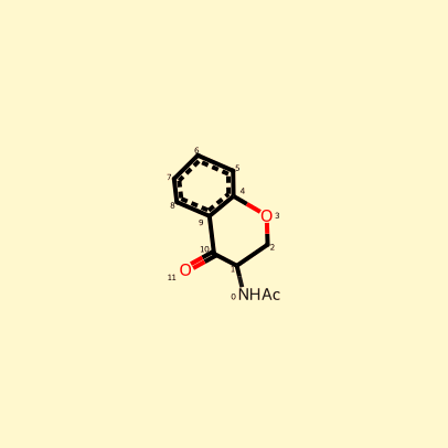 CC(=O)NC1COc2ccccc2C1=O